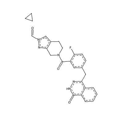 C1CC1.O=Cn1cc2c(n1)CN(C(=O)c1cc(Cc3n[nH]c(=O)c4ccccc34)ccc1F)CC2